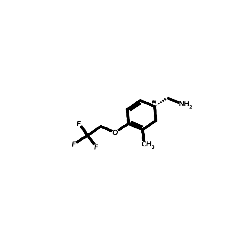 CC1=C(OCC(F)(F)F)C=C[C@H](CN)C1